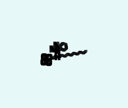 CCCCCCCCCCCCOS(=O)(=O)[O-].[Na+].c1ccc2[nH]cnc2c1